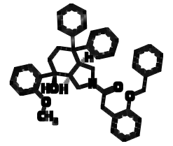 COc1ccccc1[C@]1(O)CCC(c2ccccc2)(c2ccccc2)[C@H]2CN(C(=O)Cc3ccccc3OCc3ccccc3)C[C@H]21